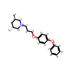 C[C@@H]1C[C@@H](C)CN(CCCOc2ccc(Oc3ccccc3)cc2)C1